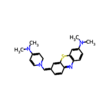 CN(C)C1=CCN(C=c2ccc3c(c2)Sc2cc(N(C)C)ccc2N=3)C=C1